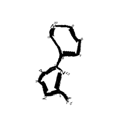 Fc1cccc(-c2cccnc2)n1